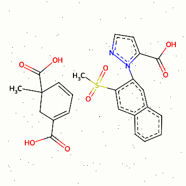 CC1(C(=O)O)C=CC=C(C(=O)O)C1.CS(=O)(=O)c1cc2ccccc2cc1-n1nccc1C(=O)O